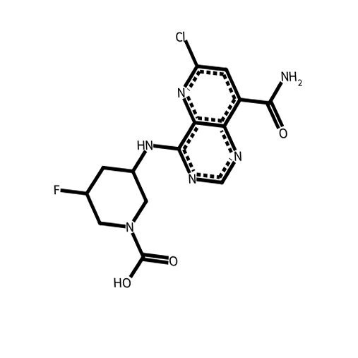 NC(=O)c1cc(Cl)nc2c(NC3CC(F)CN(C(=O)O)C3)ncnc12